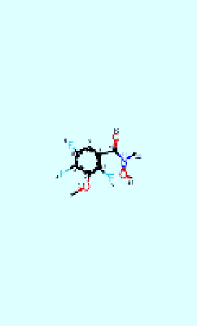 COc1c(F)c(F)cc(C(=O)N(C)OC)c1F